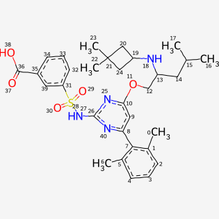 Cc1cccc(C)c1-c1cc(OCC(CC(C)C)NC2CC(C)(C)C2)nc(NS(=O)(=O)c2cccc(C(=O)O)c2)n1